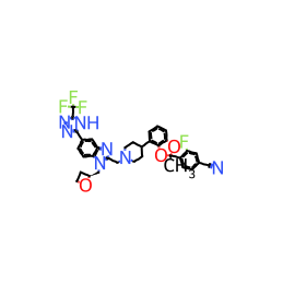 CC1(c2ccc(C#N)cc2F)Oc2cccc(C3CCN(Cc4nc5cc(-c6nnc(C(F)(F)F)[nH]6)ccc5n4C[C@@H]4CCO4)CC3)c2O1